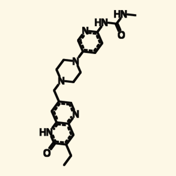 CCc1cc2ncc(CN3CCN(c4ccc(NC(=O)NC)nc4)CC3)cc2[nH]c1=O